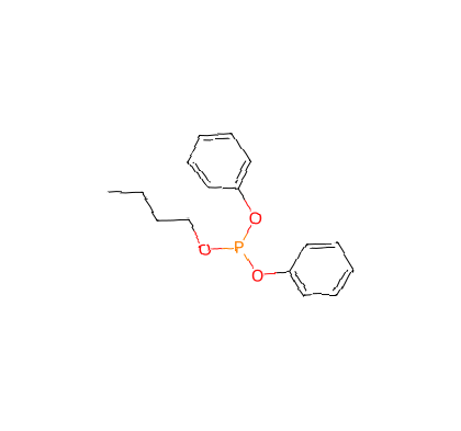 CCCCOP(Oc1ccccc1)Oc1ccccc1